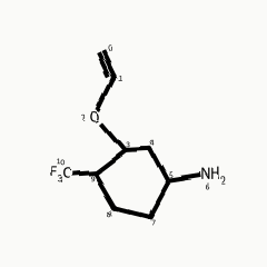 C=COC1CC(N)CCC1C(F)(F)F